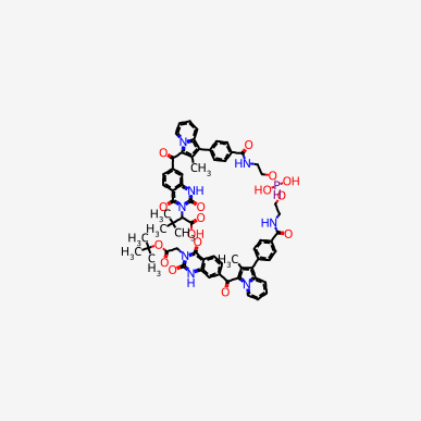 Cc1c(-c2ccc(C(=O)NCCO[PH](O)(O)OCCNC(=O)c3ccc(-c4c(C)c(C(=O)c5ccc6c(=O)n(C(C(=O)O)C(C)(C)C)c(=O)[nH]c6c5)n5ccccc45)cc3)cc2)c2ccccn2c1C(=O)c1ccc2c(=O)n(CC(=O)OC(C)(C)C)c(=O)[nH]c2c1